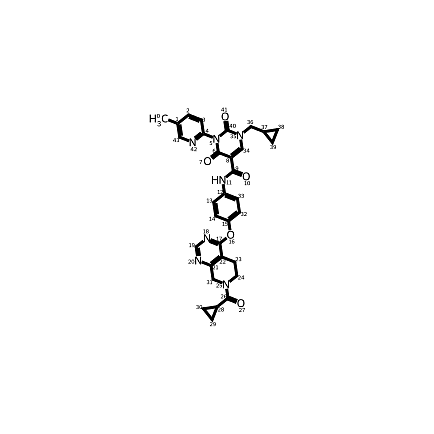 Cc1ccc(-n2c(=O)c(C(=O)Nc3ccc(Oc4ncnc5c4CCN(C(=O)C4CC4)C5)cc3)cn(CC3CC3)c2=O)nc1